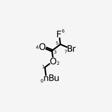 CCCCCOC(=O)C(F)Br